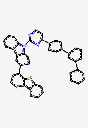 c1ccc(-c2cccc(-c3ccc(-c4ccnc(-n5c6ccccc6c6cc(-c7cccc8c7sc7ccccc78)ccc65)n4)cc3)c2)cc1